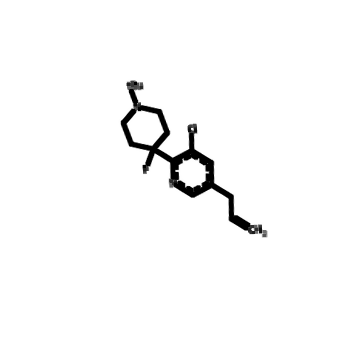 C=CCc1cnc(C2(F)CCN(C(C)(C)C)CC2)c(Cl)c1